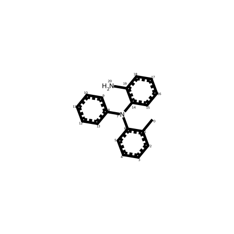 Cc1ccccc1N(c1ccccc1)c1ccccc1N